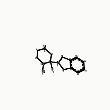 CCN1CCNCC1(F)N1Cc2ccccc2C1